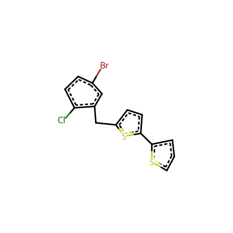 Clc1ccc(Br)cc1Cc1ccc(-c2cccs2)s1